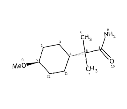 CO[C@H]1CC[C@H](C(C)(C)C(N)=O)CC1